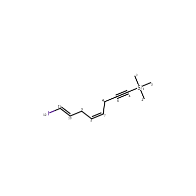 C[Si](C)(C)C#CC/C=C\C/C=C/I